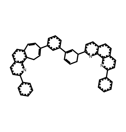 C1=CC(c2cccc(C3=CCc4c(ccc5ccc(-c6ccccc6)nc45)C=C3)c2)=CC(c2ccc3ccc4ccc(-c5ccccc5)nc4c3n2)C1